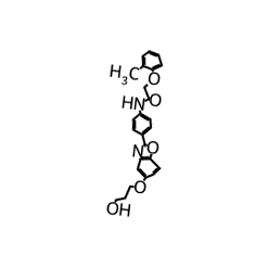 Cc1ccccc1OCC(=O)Nc1ccc(-c2nc3cc(OCCCO)ccc3o2)cc1